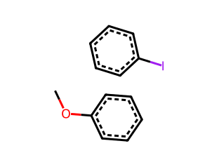 COc1ccccc1.Ic1ccccc1